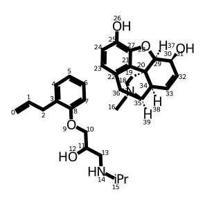 C=CCc1ccccc1OCC(O)CNC(C)C.CN1CC[C@]23c4c5ccc(O)c4O[C@H]2[C@@H](O)C=C[C@H]3[C@H]1C5